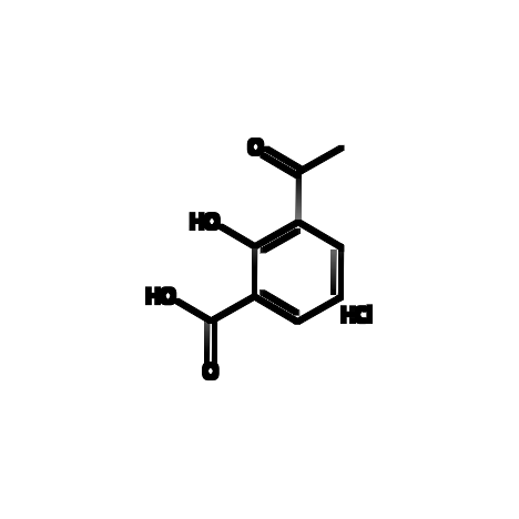 CC(=O)c1cccc(C(=O)O)c1O.Cl